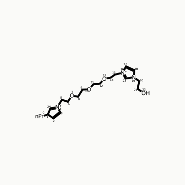 CCCC1C=C[N+](CCOCCOCCOCC[n+]2ccn(CCO)c2)=C1